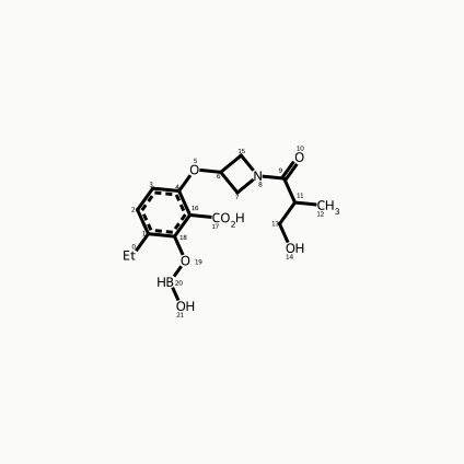 CCc1ccc(OC2CN(C(=O)C(C)CO)C2)c(C(=O)O)c1OBO